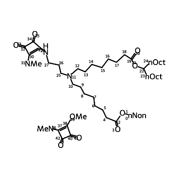 CCCCCCCCCOC(=O)CCCCCCCN(CCCCCCCC(=O)OC(CCCCCCCC)CCCCCCCC)CCCNc1c(NC)c(=O)c1=O.CNc1c(OC)c(=O)c1=O